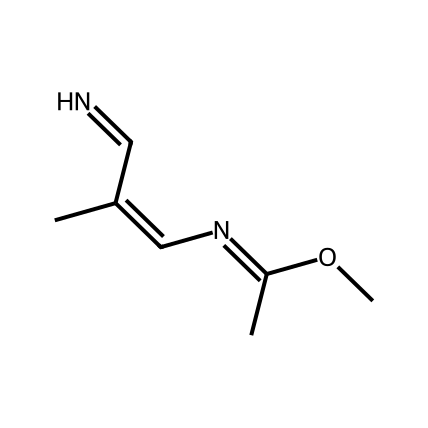 CO/C(C)=N/C=C(/C)C=N